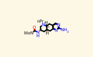 CCCN1C[C@@H](NC(=O)NC)C[C@@H]2Cc3nc(N)ncc3C[C@H]21